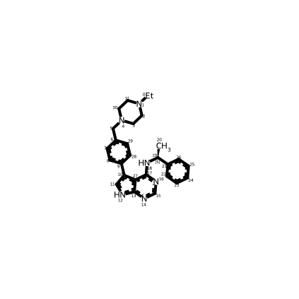 CCN1CCN(Cc2ccc(-c3c[nH]c4ncnc(N[C@@H](C)c5ccccc5)c34)cc2)CC1